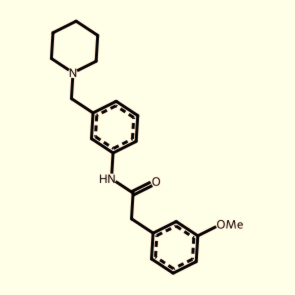 COc1cccc(CC(=O)Nc2cccc(CN3CCCCC3)c2)c1